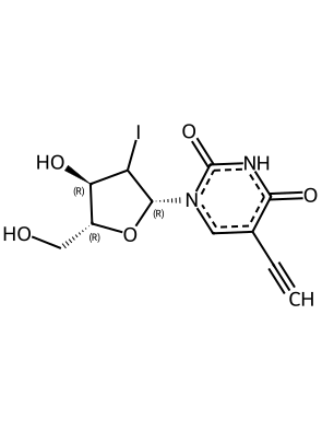 C#Cc1cn([C@@H]2O[C@H](CO)[C@@H](O)C2I)c(=O)[nH]c1=O